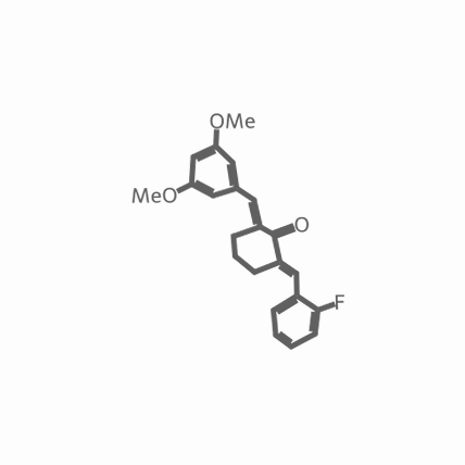 COc1cc(/C=C2\CCC/C(=C\c3ccccc3F)C2=O)cc(OC)c1